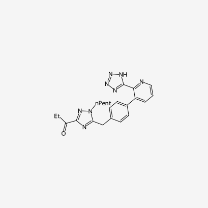 CCCCCn1nc(C(=O)CC)nc1Cc1ccc(-c2cccnc2-c2nnn[nH]2)cc1